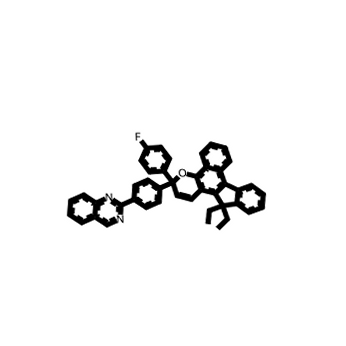 CCC1(CC)c2ccccc2-c2c1c1c(c3ccccc23)OC(c2ccc(F)cc2)(c2ccc(-c3ncc4ccccc4n3)cc2)C=C1